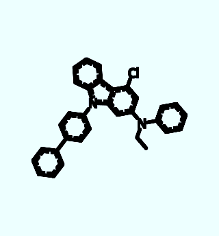 CCN(c1ccccc1)c1cc(Cl)c2c3ccccc3n(-c3ccc(-c4ccccc4)cc3)c2c1